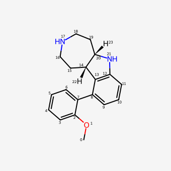 COc1ccccc1-c1cccc2c1[C@@H]1CCNCC[C@@H]1N2